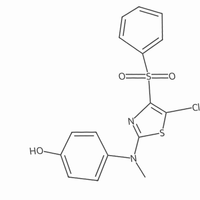 CN(c1ccc(O)cc1)c1nc(S(=O)(=O)c2ccccc2)c(Cl)s1